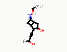 CCC(O)C#CC1C(O)CC2/C(=N\OCC(=O)O)CC21